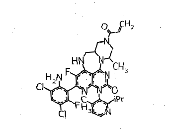 C=CC(=O)N1CC(C)N2c3nc(=O)n(-c4c(C)ccnc4C(C)C)c4nc(-c5c(N)c(Cl)cc(Cl)c5F)c(F)c(c34)NCC2C1